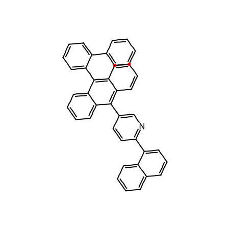 c1ccc(-c2ccccc2-c2c3ccccc3c(-c3ccc(-c4cccc5ccccc45)nc3)c3ccccc23)cc1